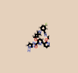 CCOc1ncccc1-c1ccc(OC2(C)CC3(CN(c4ccc(F)cc4C#N)C3)C2)c(C(=O)N[C@@H]2CCNC2)n1